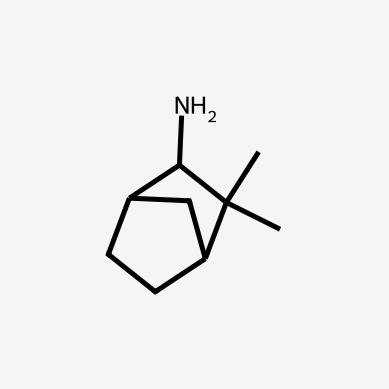 CC1(C)C2CCC(C2)C1N